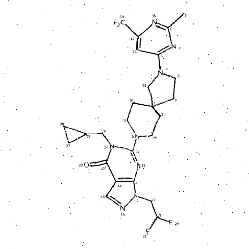 Cc1nc(N2CCC3(CCN(c4nc5c(cnn5CC(F)F)c(=O)n4CC4CC4)CC3)C2)cc(C(F)(F)F)n1